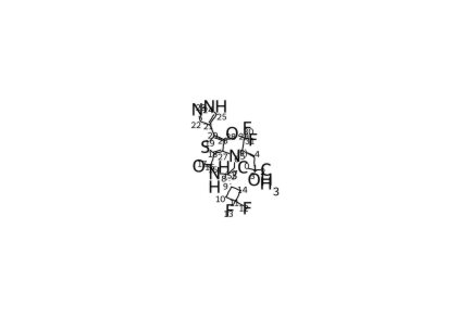 CC(C)(O)C[C@H]1N2C[C@H](C3CC(F)(F)C3)NC(=O)c3sc(-c4cn[nH]c4)c(c32)OC1(F)F